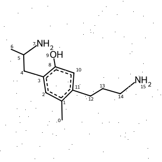 Cc1cc(CC(C)N)c(O)cc1CCCN